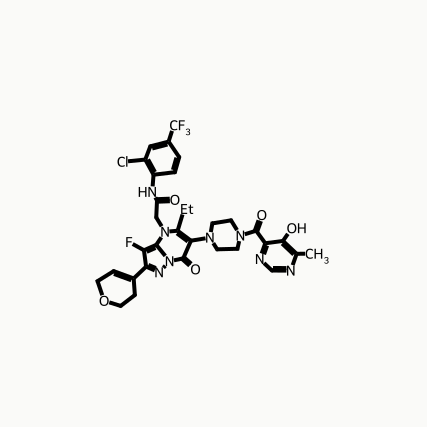 CCc1c(N2CCN(C(=O)c3ncnc(C)c3O)CC2)c(=O)n2nc(C3=CCOCC3)c(F)c2n1CC(=O)Nc1ccc(C(F)(F)F)cc1Cl